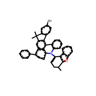 CC1CC=C(N(c2ccc(-c3ccccc3)cc2)c2ccccc2-c2cccc3c2-c2ccc(C(C)(C)C)cc2C3(C)C)c2c1oc1ccccc21